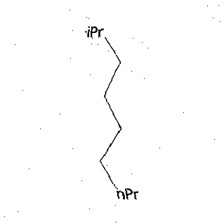 CCCCCCC[C](C)C